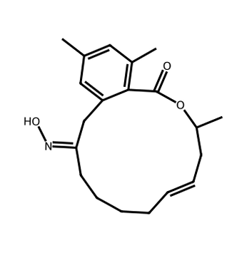 Cc1cc(C)c2c(c1)CC(=NO)CCCC/C=C/CC(C)OC2=O